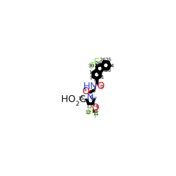 O=C(NCC(=O)N1C[C@H](OC(F)F)C[C@H]1C(=O)O)c1ccc2c(c1)-c1ccccc1C2(F)F